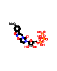 COc1ccc2c(Cn3c(=O)ccn([C@@H]4O[C@H](COP(=O)(O)OP(=O)(O)OP(=O)(O)O)[C@H](O)[C@@H]4O)c3=O)noc2c1